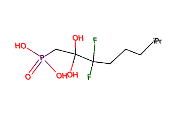 CC(C)CCCC(F)(F)C(O)(O)CP(=O)(O)O